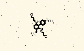 C=Cc1ccc(NCCCCl)c(-c2ccc(OC)cc2)c1NCCCCl